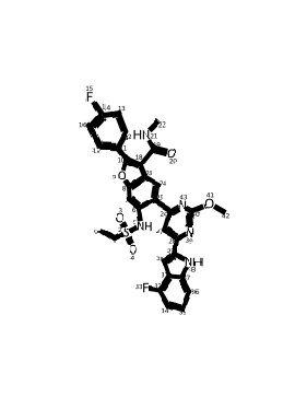 CCS(=O)(=O)Nc1cc2oc(-c3ccc(F)cc3)c(C(=O)NC)c2cc1-c1cc(-c2cc3c(F)cccc3[nH]2)nc(OC)n1